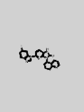 O=c1[nH]c2ccc(-n3cnc4ccc(F)cc43)nc2n1C1CCCc2ncccc21